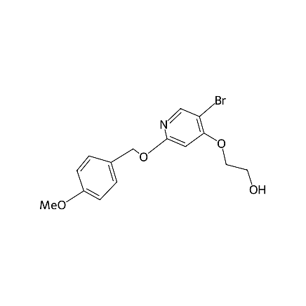 COc1ccc(COc2cc(OCCO)c(Br)cn2)cc1